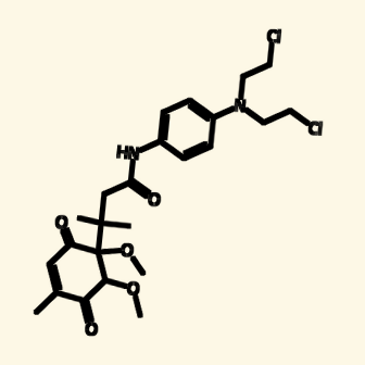 COC1C(=O)C(C)=CC(=O)C1(OC)C(C)(C)CC(=O)Nc1ccc(N(CCCl)CCCl)cc1